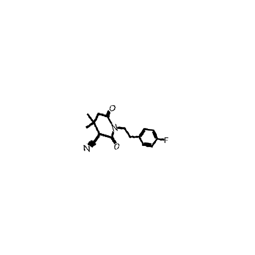 CC1(C)CC(=O)N(CCc2ccc(F)cc2)C(=O)C1C#N